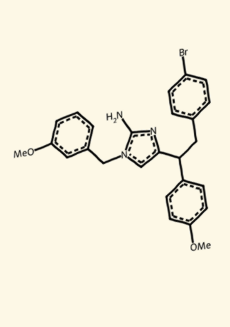 COc1ccc(C(Cc2ccc(Br)cc2)c2cn(Cc3cccc(OC)c3)c(N)n2)cc1